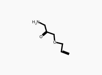 C=CCOCC(=O)CN